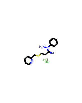 Cl.Cl.N=C(CCSCc1ccccn1)N(N)c1ccccc1